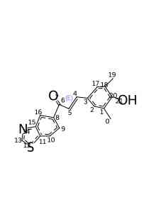 Cc1cc(/C=C/C(=O)c2ccc3scnc3c2)cc(C)c1O